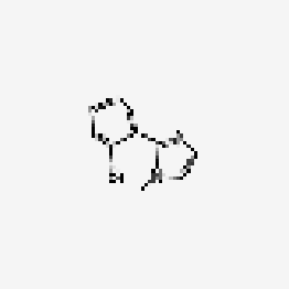 Cn1ccnc1-c1ccccc1Br